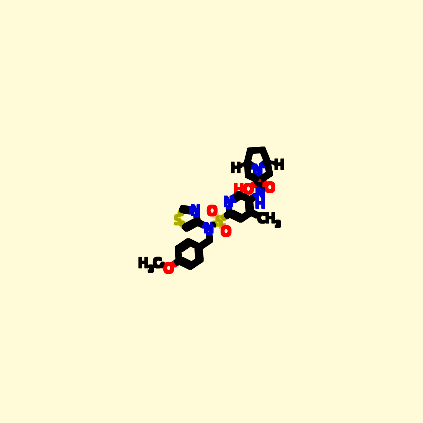 COc1ccc(CN(c2cscn2)S(=O)(=O)c2cc(C)c(N[C@H]3C[C@H]4CC[C@@H](C3)N4C(=O)O)cn2)cc1